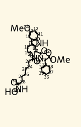 COC(=O)[C@@H](NC(=O)C1c2[nH]c3ccc(OC)cc3c2CCN1C(=O)CCCCCCC(=O)NO)c1ccccc1